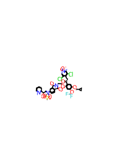 CS(=O)(=O)N(CC(=O)c1ccccn1)c1ccc2c(c1)C(=O)N(CC(=O)O[C@@H](Cc1c(Cl)c[n+]([O-])cc1Cl)c1ccc(OC(F)F)c(OCC3CC3)c1)C2=O